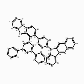 c1ccc(-c2nc(-c3ccccc3)nc(-c3c(-c4ccc(-n5c6ccccc6c6cc7ccccc7cc65)cc4)ccc4c3oc3ccccc34)n2)cc1